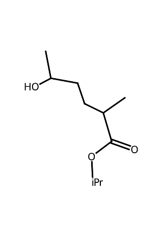 CC(O)CCC(C)C(=O)OC(C)C